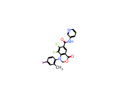 Cc1cc(I)ccc1N1COC(=O)c2cc(C(=O)Nc3cccnc3)c(F)c(F)c21